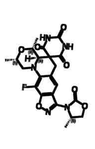 C[C@H]1CN2c3c(cc4c(N5C(=O)OC[C@@H]5C)noc4c3F)CC3(C(=O)NC(=O)NC3=O)[C@@H]2[C@@H](C)O1